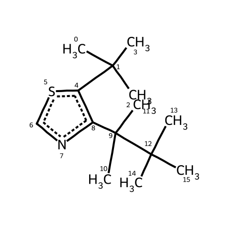 CC(C)(C)c1scnc1C(C)(C)C(C)(C)C